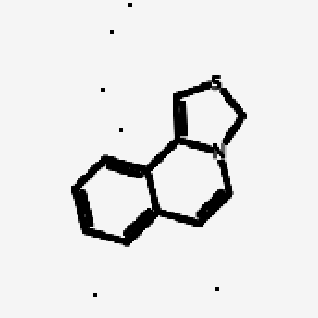 C1=CN2CSC=C2c2ccccc21